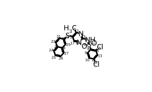 Cc1nc(NS(=O)(=O)c2ccc(Cl)cc2Cl)ncc1Sc1ccc2ccccc2c1